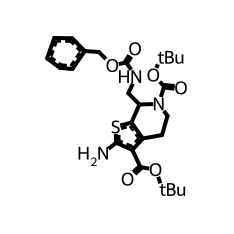 CC(C)(C)OC(=O)c1c(N)sc2c1CCN(C(=O)OC(C)(C)C)C2CNC(=O)OCc1ccccc1